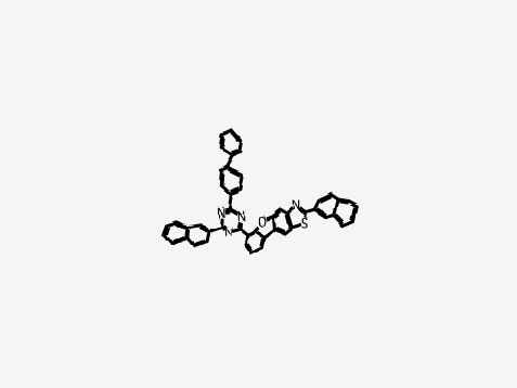 c1ccc(-c2ccc(-c3nc(-c4ccc5ccccc5c4)nc(-c4cccc5c4oc4cc6nc(-c7ccc8ccccc8c7)sc6cc45)n3)cc2)cc1